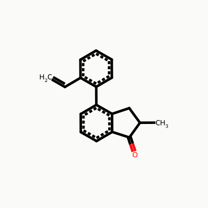 C=Cc1ccccc1-c1cccc2c1CC(C)C2=O